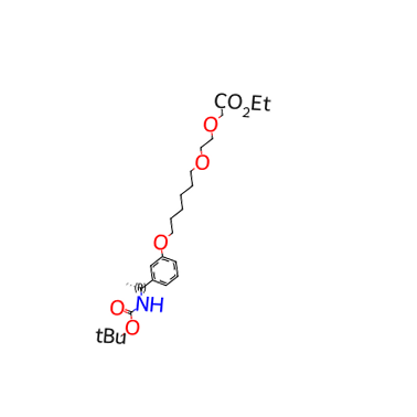 CCOC(=O)COCCOCCCCCCOc1cccc([C@@H](C)NC(=O)OC(C)(C)C)c1